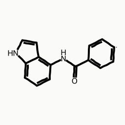 O=C(Nc1cccc2[nH]ccc12)c1cc[c]cc1